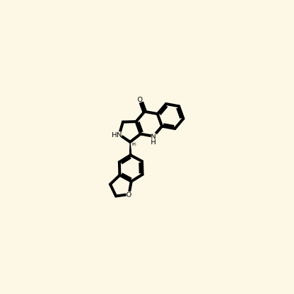 O=c1c2c([nH]c3ccccc13)[C@@H](c1ccc3c(c1)CCO3)NC2